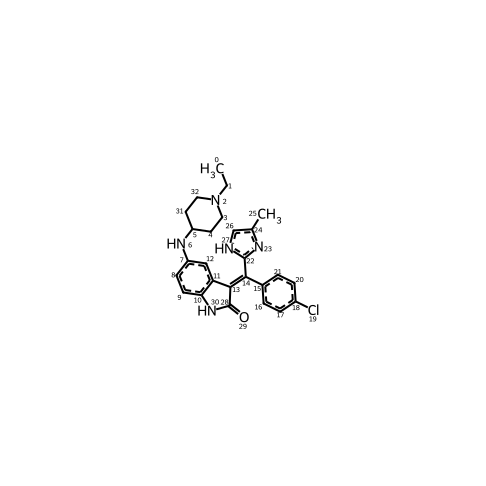 CCN1CCC(Nc2ccc3c(c2)C(=C(c2ccc(Cl)cc2)c2nc(C)c[nH]2)C(=O)N3)CC1